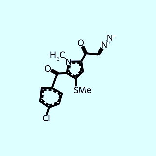 CSc1cc(C(=O)C=[N+]=[N-])n(C)c1C(=O)c1ccc(Cl)cc1